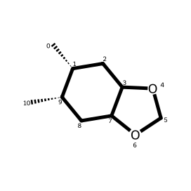 C[C@@H]1CC2OCOC2C[C@@H]1C